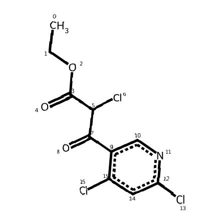 CCOC(=O)C(Cl)C(=O)c1cnc(Cl)cc1Cl